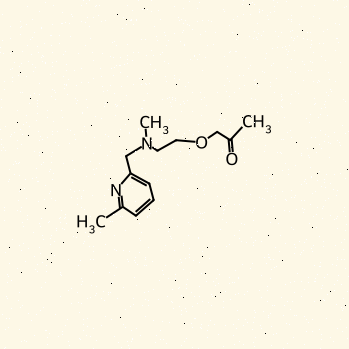 CC(=O)COCCN(C)Cc1cccc(C)n1